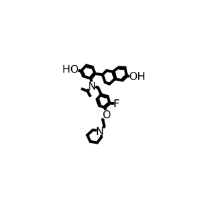 CC(C)N(Cc1ccc(OCCN2CCCCC2)c(F)c1)c1cc(O)ccc1C1CCc2cc(O)ccc2C1